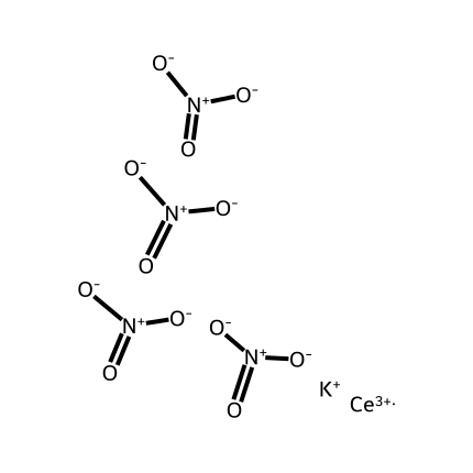 O=[N+]([O-])[O-].O=[N+]([O-])[O-].O=[N+]([O-])[O-].O=[N+]([O-])[O-].[Ce+3].[K+]